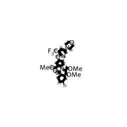 COCC(COC)N(c1ccc(Oc2ncc(N3CCOCC3)cc2C(F)(F)F)cc1C(=O)OC)C(=O)[C@H]1CC[C@H](C)CC1